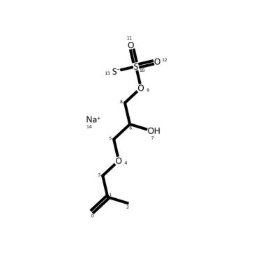 C=C(C)COCC(O)COS(=O)(=O)[S-].[Na+]